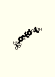 CCC(O)(CC)COc1ccc(C(CC)(CC)c2cc3ccc(C(=O)N[C@H](C)C(=O)OC)cc3s2)cc1C